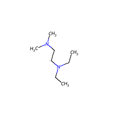 CCN([CH]CN(C)C)CC